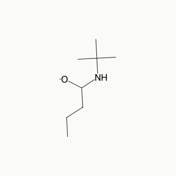 CCCC([O])NC(C)(C)C